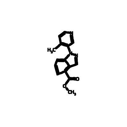 COC(=O)c1cccc2c1cnn2-c1cnccc1C